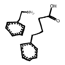 NCc1ccccc1.O=C(O)CCCc1ccccc1